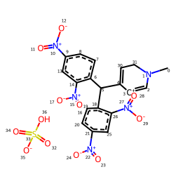 CN1C=[C+]C(C(c2ccc([N+](=O)[O-])cc2[N+](=O)[O-])c2ccc([N+](=O)[O-])cc2[N+](=O)[O-])=CC1.O=S(=O)([O-])O